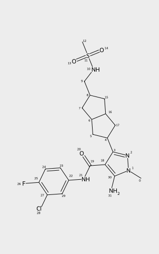 Cn1nc(C2CC3CC(CNS(C)(=O)=O)CC3C2)c(C(=O)Nc2ccc(F)c(Cl)c2)c1N